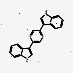 c1ccc2c(-c3cnc(-c4c[nH]c5ccccc45)cn3)c[nH]c2c1